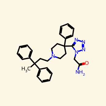 CC(CCN1CCC(c2ccccc2)(c2nnnn2CC(N)=O)CC1)(c1ccccc1)c1ccccc1